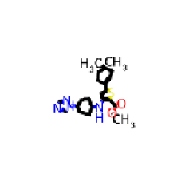 COC(=O)c1sc(C2=CCC(C)(C)CC2)cc1NC1CCC(n2cncn2)CC1